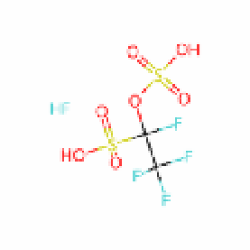 F.O=S(=O)(O)OC(F)(C(F)(F)F)S(=O)(=O)O